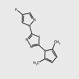 Cc1ccc(C)n1-c1nnc(-n2cc(F)cn2)s1